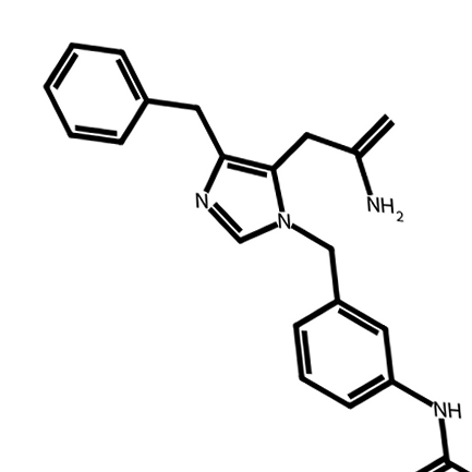 C=C(N)Cc1c(Cc2ccccc2)ncn1Cc1cccc(NC(N)=O)c1